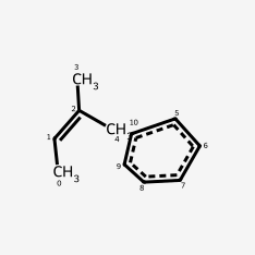 CC=C(C)C.c1ccccc1